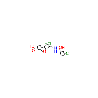 Cl.O=C(O)c1ccc2c(c1)COc1cc(CCNC[C@H](O)c3cccc(Cl)c3)ccc1-2